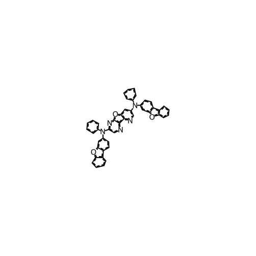 c1ccc(N(c2ccc3c(c2)oc2ccccc23)c2cnc3c(c2)oc2nc(N(c4ccccc4)c4ccc5c(c4)oc4ccccc45)cnc23)cc1